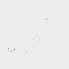 Cc1c(Oc2ccc(CCn3ccnc3)cc2F)ncnc1OC1CCN(C(=O)OC(C)C)CC1